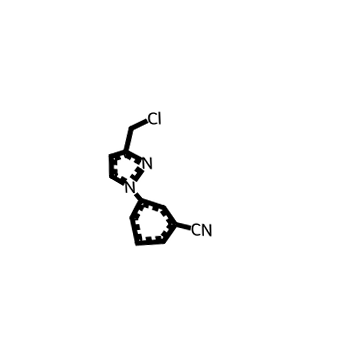 N#Cc1cccc(-n2ccc(CCl)n2)c1